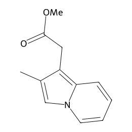 COC(=O)Cc1c(C)cn2ccccc12